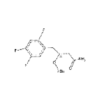 CCCCO[C@@H](CC(N)=O)Cc1cc(F)c(F)cc1F